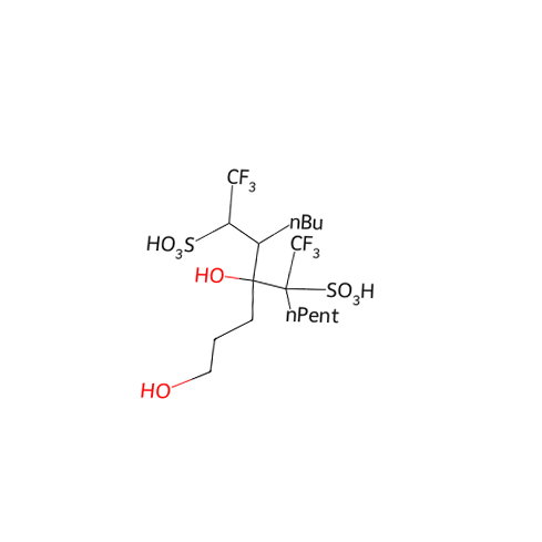 CCCCCC(C(F)(F)F)(C(O)(CCCO)C(CCCC)C(C(F)(F)F)S(=O)(=O)O)S(=O)(=O)O